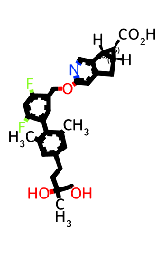 Cc1cc(CCC(C)(O)CO)cc(C)c1-c1cc(COc2cc3c(cn2)[C@H]2[C@@H](C3)[C@@H]2C(=O)O)c(F)cc1F